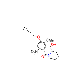 COc1cc(C(=O)N2CCCC[C@H]2CO)c([N+](=O)[O-])cc1OCCCC(C)=O